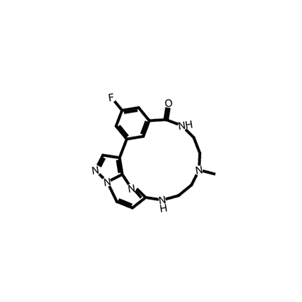 CN1CCNC(=O)c2cc(F)cc(c2)-c2cnn3ccc(nc23)NCC1